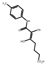 N#C/C(C(=O)Nc1ccc(C(F)(F)F)cc1)=C(/O)CCCC(=O)O